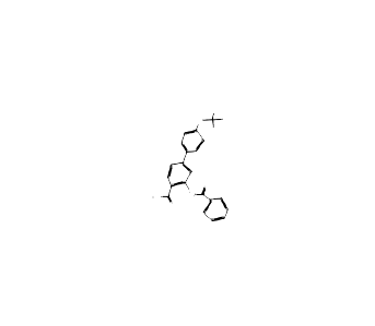 O=C(Nc1cc(-c2ccc(OC(F)(F)F)cc2)ccc1C(=O)O)c1ccccc1